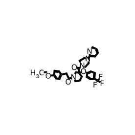 CCOc1ccc(CC(=O)N2CCCC(Oc3ccc(C(F)(F)F)cc3)(C(=O)N3CCN(c4ccccn4)CC3)C2)cc1